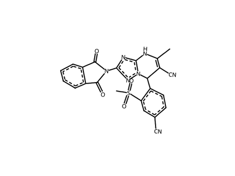 CC1=C(C#N)C(c2ccc(C#N)cc2S(C)(=O)=O)n2nc(N3C(=O)c4ccccc4C3=O)nc2N1